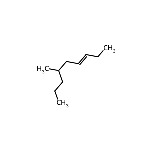 CCC=CCC(C)CCC